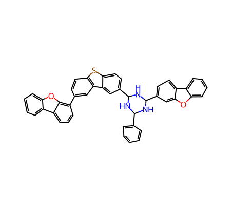 c1ccc(C2NC(c3ccc4c(c3)oc3ccccc34)NC(c3ccc4sc5ccc(-c6cccc7c6oc6ccccc67)cc5c4c3)N2)cc1